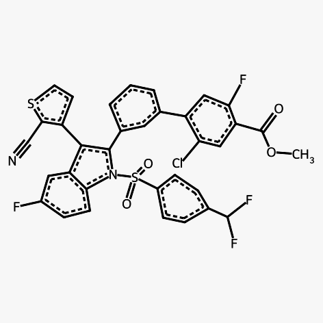 COC(=O)c1cc(Cl)c(-c2cccc(-c3c(-c4ccsc4C#N)c4cc(F)ccc4n3S(=O)(=O)c3ccc(C(F)F)cc3)c2)cc1F